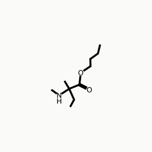 CCCCOC(=O)C(C)(CC)NC